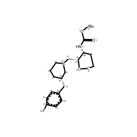 CC(C)(C)OC(=O)N[C@@H]1CCCO[C@@H]1CN1CCC[C@@H](Cc2ccc(F)cc2)C1